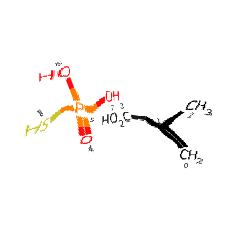 C=C(C)C(=O)O.O=P(O)(O)S